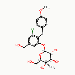 COc1ccc(Cc2c(Cl)cc(CO)cc2O[C@@H]2O[C@H](CO)[C@@](C)(O)[C@H](O)[C@H]2O)cc1